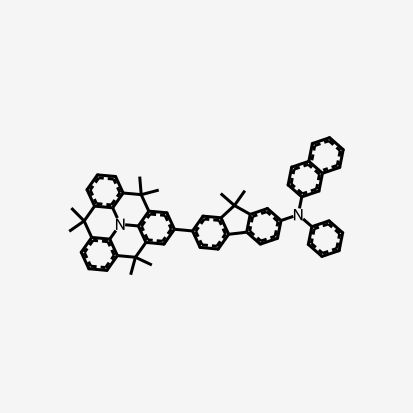 CC1(C)c2cc(-c3cc4c5c(c3)C(C)(C)c3cccc6c3N5c3c(cccc3C4(C)C)C6(C)C)ccc2-c2ccc(N(c3ccccc3)c3ccc4ccccc4c3)cc21